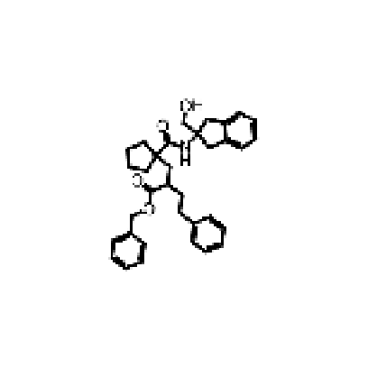 O=C(OCc1ccccc1)C(CCc1ccccc1)CC1(C(=O)NC2(CO)Cc3ccccc3C2)CCCC1